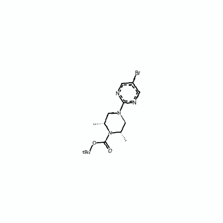 C[C@@H]1CN(c2ncc(Br)cn2)C[C@H](C)N1C(=O)OC(C)(C)C